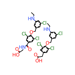 CCNc1cc(Cl)cc(COc2c(Cl)cc(C(=O)NCC(=O)O)cc2Cl)c1.CCNc1cc(Cl)cc(COc2c(Cl)cc(CC(=O)O)cc2Cl)c1